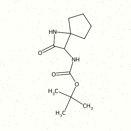 CC(C)(C)OC(=O)NC1C(=O)NC12CCCC2